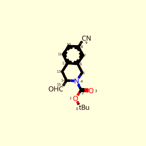 CC(C)(C)OC(=O)N1Cc2cc(C#N)ccc2CC1C=O